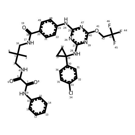 CC(C)(CNC(=O)C(=O)Nc1ccccc1)CNC(=O)c1ccc(Nc2nc(NC3(c4ccc(Cl)cc4)CC3)nc(OCC(F)(F)F)n2)cc1